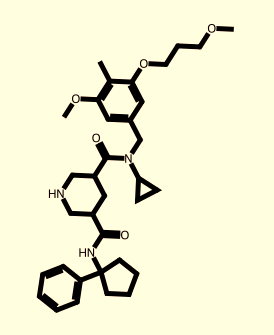 COCCCOc1cc(CN(C(=O)C2CNCC(C(=O)NC3(c4ccccc4)CCCC3)C2)C2CC2)cc(OC)c1C